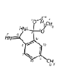 COC1(OC)NC(=N)c2ccc(C)cc21